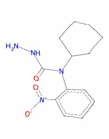 NNC(=O)N(c1ccccc1[N+](=O)[O-])C1CCCCC1